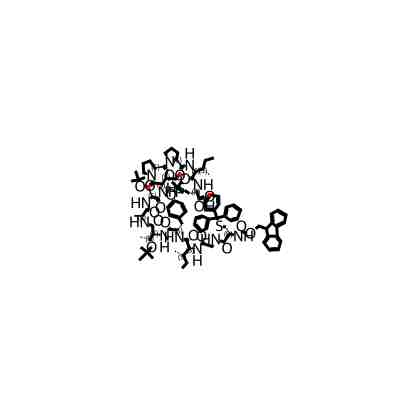 CC[C@H](C)[C@H](NC(=O)CNC(=O)[C@H](CSC(c1ccccc1)(c1ccccc1)c1ccccc1)NC(=O)OCC1c2ccccc2-c2ccccc21)C(=O)N[C@@H](Cc1ccc(OC(C)(C)C)cc1)C(=O)N[C@H](C(=O)N[C@@H](C)C(=O)N[C@@H](COC(C)(C)C)C(=O)N[C@H](C(=O)N1CCC[C@H]1C(=O)N1CCC[C@H]1C(=O)N[C@H](C(=O)N[C@@H](CS)C(=O)O)[C@@H](C)CC)[C@@H](C)CC)[C@@H](C)OC(C)(C)C